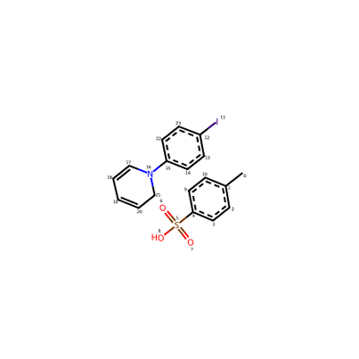 Cc1ccc(S(=O)(=O)O)cc1.Ic1ccc(N2C=CC=CC2)cc1